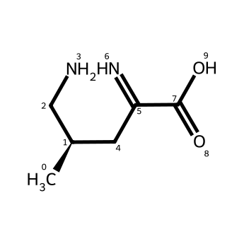 C[C@@H](CN)CC(=N)C(=O)O